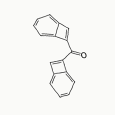 O=C(C1=Cc2ccccc21)C1=Cc2ccccc21